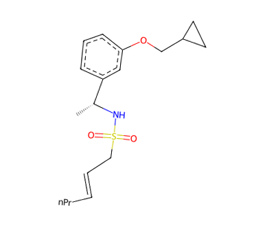 CCC/C=C/CS(=O)(=O)N[C@H](C)c1cccc(OCC2CC2)c1